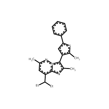 CCC(CC)c1cc(C)nn2c(-c3cc(-c4ccccc4)sc3C)c(C)nc12